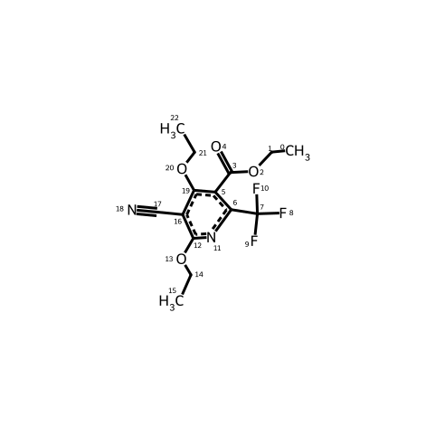 CCOC(=O)c1c(C(F)(F)F)nc(OCC)c(C#N)c1OCC